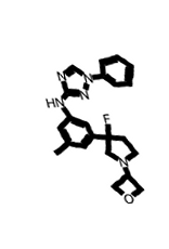 Cc1cc(Nc2ncn(-c3ccccc3)n2)cc(C2(F)CCN(C3COC3)C2)c1